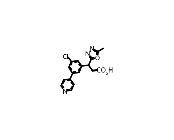 Cc1nnc(C(CC(=O)O)c2cc(Cl)cc(-c3ccncc3)c2)o1